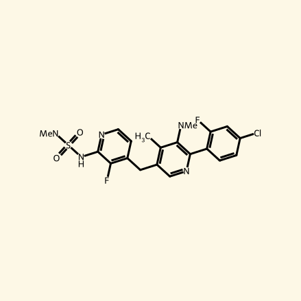 CNc1c(-c2ccc(Cl)cc2F)ncc(Cc2ccnc(NS(=O)(=O)NC)c2F)c1C